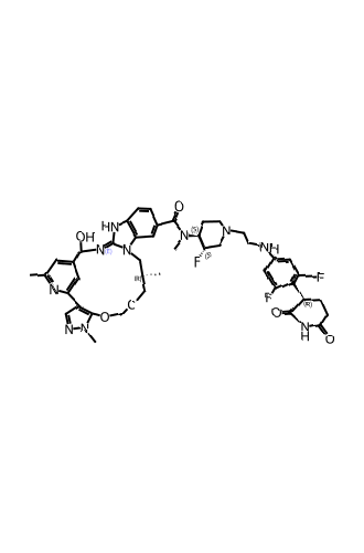 Cc1cc2cc(n1)-c1cnn(C)c1OCCC[C@@H](C)CN1/C(=N/C2O)Nc2ccc(C(=O)N(C)[C@H]3CCN(CCNc4cc(F)c([C@H]5CCC(=O)NC5=O)c(F)c4)C[C@@H]3F)cc21